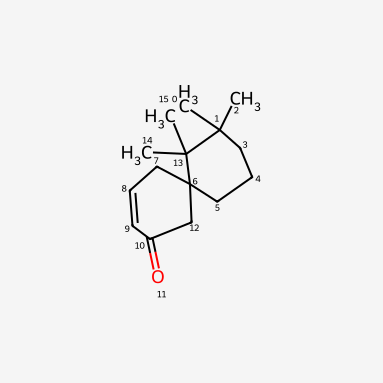 CC1(C)CCCC2(CC=CC(=O)C2)C1(C)C